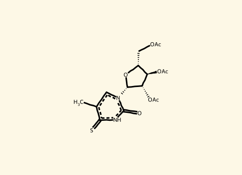 CC(=O)OC[C@H]1O[C@@H](n2cc(C)c(=S)[nH]c2=O)[C@@H](OC(C)=O)[C@@H]1OC(C)=O